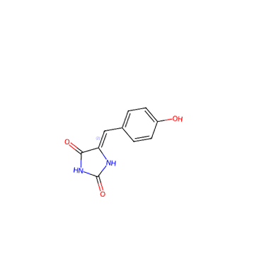 O=C1NC(=O)/C(=C/c2ccc(O)cc2)N1